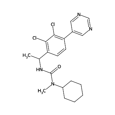 CC(NC(=O)N(C)C1CCCCC1)c1ccc(-c2cncnc2)c(Cl)c1Cl